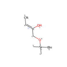 CC(C)(C)[Si](C)(C)OC/C(O)=C/C#N